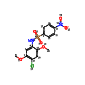 COc1cc(NS(=O)(=O)c2ccc([N+](=O)[O-])cc2)c(OC)cc1Cl